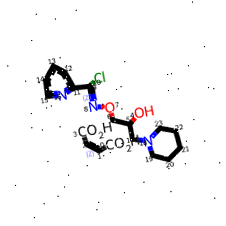 O=C(O)/C=C\C(=O)O.OC(CO/N=C(\Cl)c1ccccn1)CN1CCCCC1